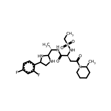 CCS(=O)(=O)N[C@@H](CC(=O)N1CCCC[C@@H]1C)C(=O)N[C@@H](C)C1NCC(c2ccc(F)cc2F)N1